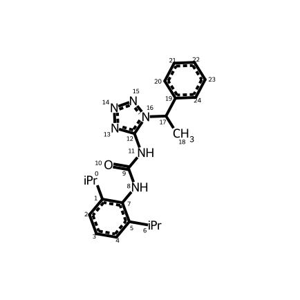 CC(C)c1cccc(C(C)C)c1NC(=O)Nc1nnnn1C(C)c1ccccc1